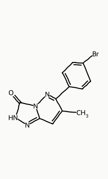 Cc1cc2n[nH]c(=O)n2nc1-c1ccc(Br)cc1